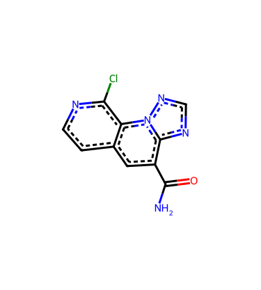 NC(=O)c1cc2ccnc(Cl)c2n2ncnc12